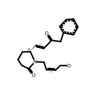 [O]C/C=C\CN1C(=O)CCC[C@@H]1/C=C/C(=O)Cc1ccccc1